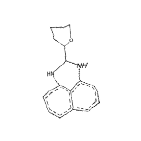 c1cc2c3c(cccc3c1)NC(C1CCCO1)N2